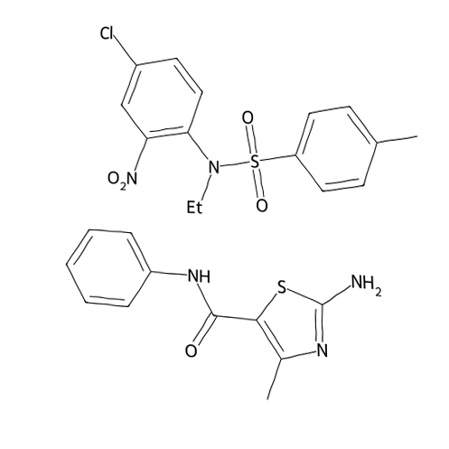 CCN(c1ccc(Cl)cc1[N+](=O)[O-])S(=O)(=O)c1ccc(C)cc1.Cc1nc(N)sc1C(=O)Nc1ccccc1